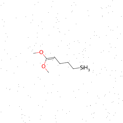 COC(=CCCC[SiH3])OC